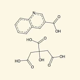 O=C(O)CC(O)(CC(=O)O)C(=O)O.O=C(O)c1cnc2ccccc2c1